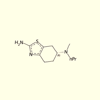 CCCN(C)[C@@H]1CCc2nc(N)sc2C1